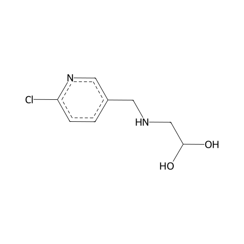 OC(O)CNCc1ccc(Cl)nc1